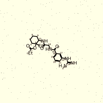 CCC(=O)OC1(CC)CCCCC1NC(=O)CNC(=O)c1cccc(NC(=N)N)c1